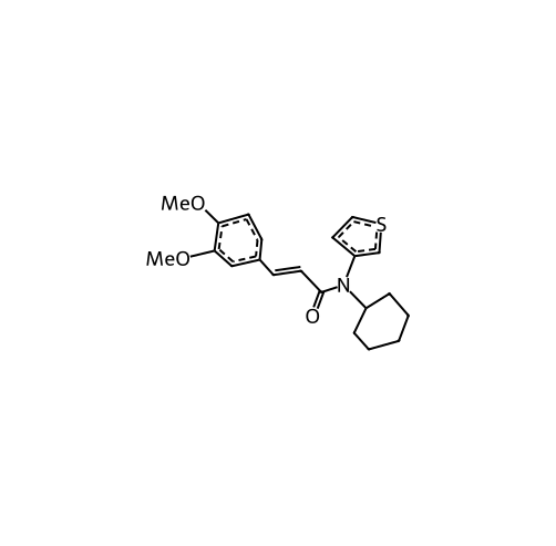 COc1ccc(/C=C/C(=O)N(c2ccsc2)C2CCCCC2)cc1OC